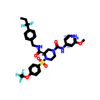 C=C(/C=C(\C=C/N)NC(=O)N1CCN(S(=O)(=O)c2ccc(OC(F)(F)F)cc2)[C@@H](C(=O)NCc2ccc(C(F)(F)CC)cc2)C1)OC